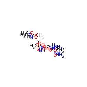 COc1cc2c(cc1OCCCCCOc1cc3c(cc1OC)C(=O)N1CCC[C@H]1[C@H](O)N3C(=O)OCc1ccc(NC(=O)[C@H](CCCNC(N)=O)NC(=O)[C@@H](N)C(C)C)cc1)N=C[C@@H]1CC(C)(C)CN1C2=O